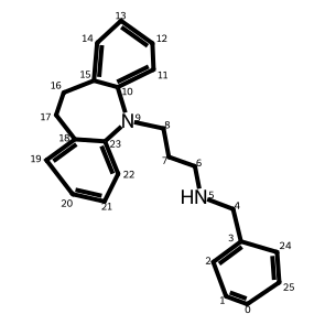 c1ccc(CNCCCN2c3ccccc3CCc3ccccc32)cc1